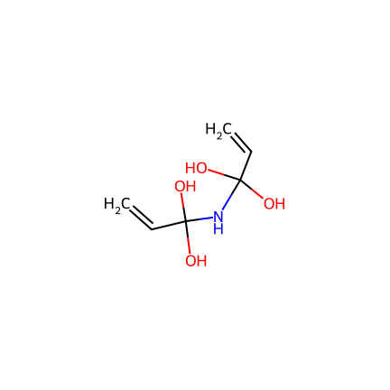 C=CC(O)(O)NC(O)(O)C=C